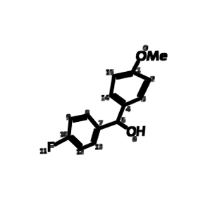 COc1ccc(C(O)c2ccc(F)cc2)cc1